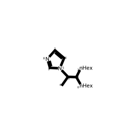 CCCCCCC(CCCCCC)C(C)n1ccnc1